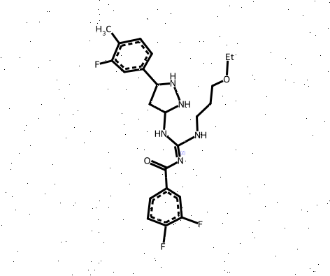 CCOCCCN/C(=N/C(=O)c1ccc(F)c(F)c1)NC1CC(c2ccc(C)c(F)c2)NN1